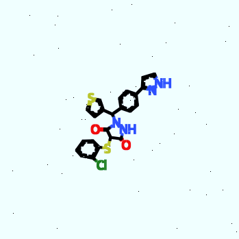 O=C1NN(C(c2ccc(-c3cc[nH]n3)cc2)c2ccsc2)C(=O)C1Sc1ccccc1Cl